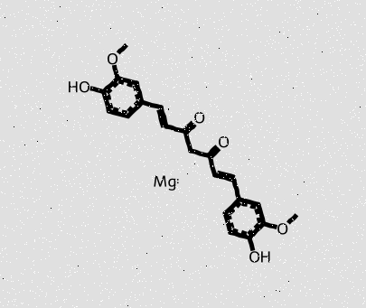 COc1cc(/C=C/C(=O)CC(=O)/C=C/c2ccc(O)c(OC)c2)ccc1O.[Mg]